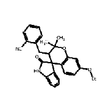 CCOc1ccc2c(c1)OC(C)(C)C(Cc1ccccc1C#N)C21C(=O)Nc2ccccc21